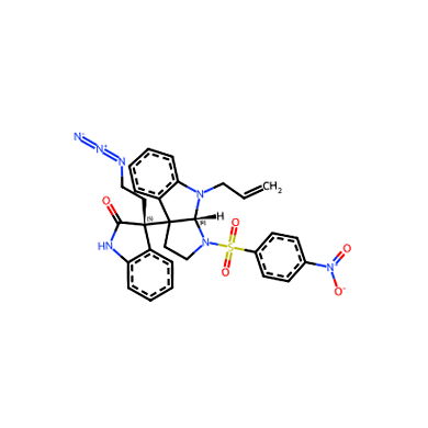 C=CCN1c2ccccc2C2([C@@]3(CCN=[N+]=[N-])C(=O)Nc4ccccc43)CCN(S(=O)(=O)c3ccc([N+](=O)[O-])cc3)[C@@H]12